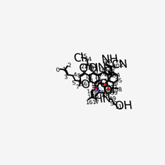 CC(C)=CCCC1(C)C=Cc2c(c(CC=C(C)C)c3c(c2OC(=O)CCl)C2=C4C(C(C#N)=C(N)N2)C2CC5C(C)(C)OC(C/C=C(/C)C(=O)NCCO)(C2=O)C45O3)O1